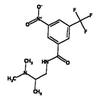 CC(CNC(=O)c1cc([N+](=O)[O-])cc(C(F)(F)F)c1)N(C)C